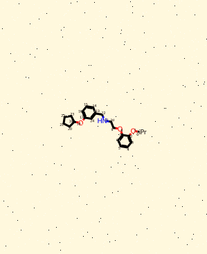 CC(C)Oc1ccccc1OCCNCc1cccc(OC2CCCC2)c1